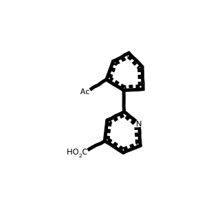 CC(=O)c1ccccc1-c1cc(C(=O)O)ccn1